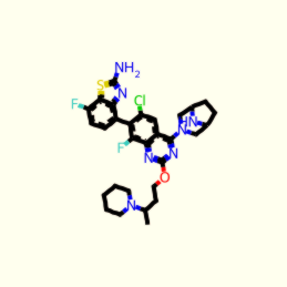 CC(CCOc1nc(N2CC3CCC(C2)N3)c2cc(Cl)c(-c3ccc(F)c4sc(N)nc34)c(F)c2n1)N1CCCCC1